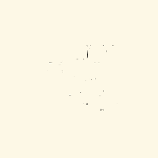 CC(C)NC(=O)[C@@H]1CCCN1C(=O)[C@@H]1CN(C(C)(C)C)C[C@H]1c1ccc(F)cc1F